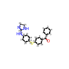 O=C(c1ccccc1)c1ccc(Sc2ccc(NC3=NCCN3)cc2)cc1